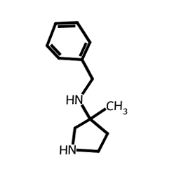 CC1(NCc2ccccc2)CCNC1